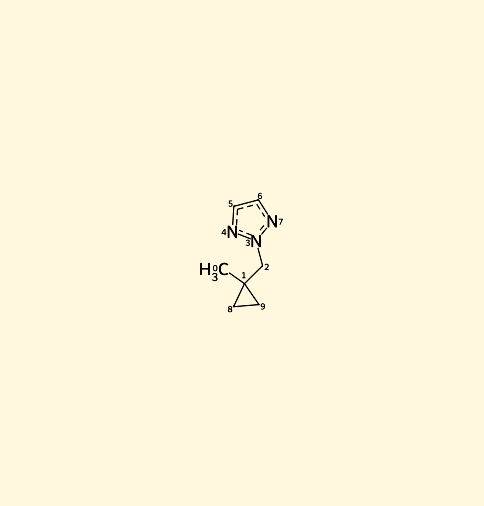 CC1(Cn2nccn2)CC1